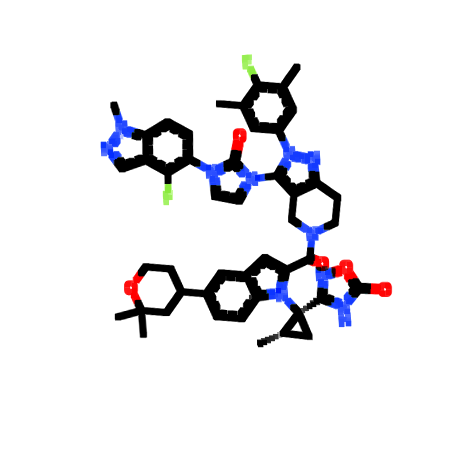 Cc1cc(-n2nc3c(c2-n2ccn(-c4ccc5c(cnn5C)c4F)c2=O)CN(C(=O)c2cc4cc(C5CCOC(C)(C)C5)ccc4n2[C@@]2(c4noc(=O)[nH]4)C[C@@H]2C)CC3)cc(C)c1F